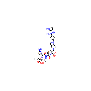 CC(C)(ON=C(C(=O)N[C@@H]1C(=O)N2C(C(=O)[O-])=C(C[n+]3ccc4c(ccn4Cc4ccc(C(=N)NC5CCCNC5)cc4)c3)CS[C@H]12)c1csc(N)n1)C(=O)O